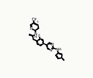 C=C(Cc1ccc(-c2cnc(NC3=CC(C)C=C3)nc2)cc1F)NC1CC=C(C(F)(F)F)C=N1